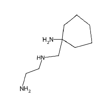 NCCNCC1(N)CCCCC1